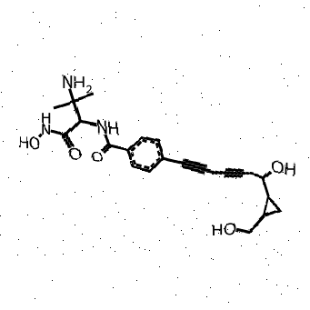 CC(C)(N)C(NC(=O)c1ccc(C#CC#CC(O)C2CC2CO)cc1)C(=O)NO